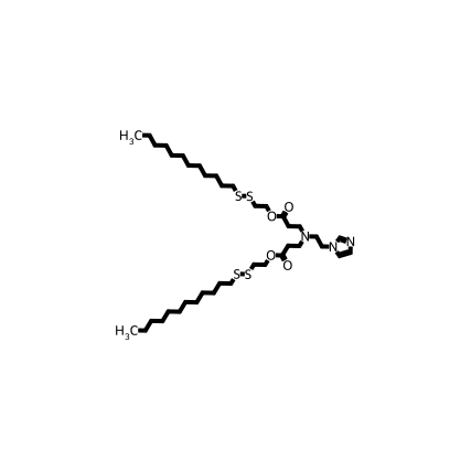 CCCCCCCCCCCCSSCCOC(=O)CCN(CCC(=O)OCCSSCCCCCCCCCCCC)CCn1ccnc1